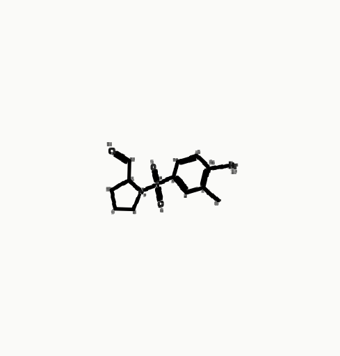 Cc1cc(S(=O)(=O)N2CCCC2C=O)ccc1Br